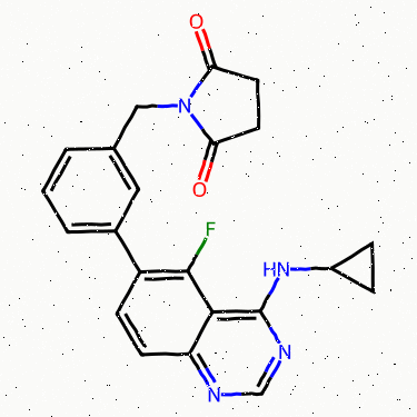 O=C1CCC(=O)N1Cc1cccc(-c2ccc3ncnc(NC4CC4)c3c2F)c1